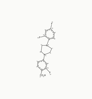 O=C(O)c1ccc(N2CCN(c3ccc(F)cc3F)CC2)cc1F